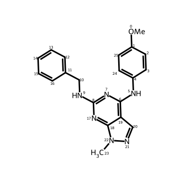 COc1ccc(Nc2nc(NCc3ccccc3)nc3c2cnn3C)cc1